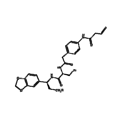 C=CCC(=O)Nc1ccc(CC(=O)N[C@@H](CC(C)C)C(=O)N[C@@H](CC(=O)O)c2ccc3c(c2)OCO3)cc1